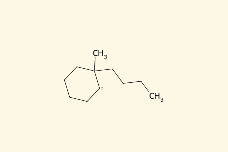 CCCCC1(C)[C]CCCC1